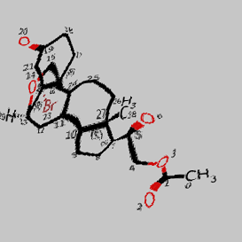 CC(=O)OCC(=O)[C@H]1CCC2C3C[C@H]4OC[C@@]5(CCC(=O)C[C@]45Br)C3CC[C@@]21C